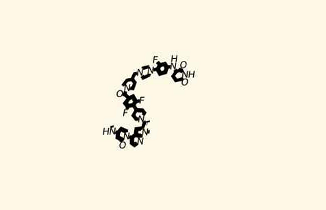 CNc1ccn(-c2ccnc3c2cc([C@H](C)N2CC=C(c4c(F)cc(C(=O)N5CCC(CN6CCN(c7ccc(NC8CCC(=O)NC8=O)cc7F)CC6)CC5)cc4F)CC2)n3C)c(=O)c1